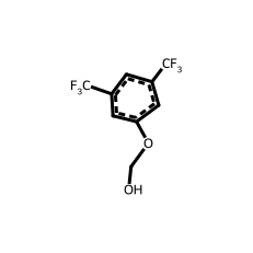 OCOc1cc(C(F)(F)F)cc(C(F)(F)F)c1